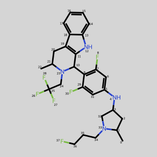 CC1CC(Nc2cc(F)c(C3c4[nH]c5ccccc5c4CC(C)N3CC(F)(F)F)c(F)c2)CN1CCCF